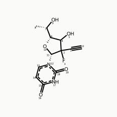 C#CC1(F)C(O)[C@@H]([C@H](C)O)O[C@H]1n1ccc(=O)[nH]c1=O